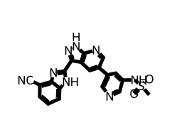 CS(=O)(=O)Nc1cncc(-c2cnc3[nH]nc(-c4nc5c(C#N)cccc5[nH]4)c3c2)c1